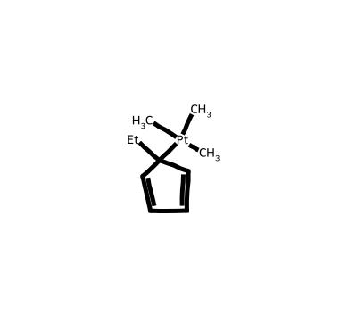 CC[C]1([Pt]([CH3])([CH3])[CH3])C=CC=C1